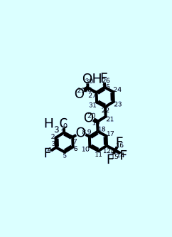 Cc1cc(F)ccc1Oc1ccc(C(F)(F)F)cc1C(=O)Cc1ccc(F)c(C(=O)O)c1